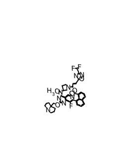 CN(c1nc(OCC23CCCN2CCC3)nc2c(F)c(-c3cccc4cccc(Cl)c34)ncc12)C1CCN(C(=O)/C=C/c2nc(C(F)F)no2)C1